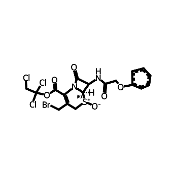 O=C(COc1ccccc1)NC1C(=O)N2C(C(=O)OC(Cl)(Cl)CCl)=C(CBr)C[S+]([O-])[C@H]12